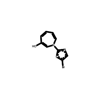 OC1=CN(c2ncc(Br)s2)C=CC=C1